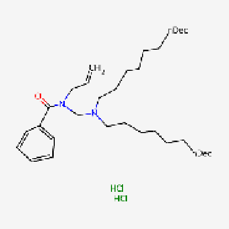 C=CCN(CN(CCCCCCCCCCCCCCCC)CCCCCCCCCCCCCCCC)C(=O)c1ccccc1.Cl.Cl